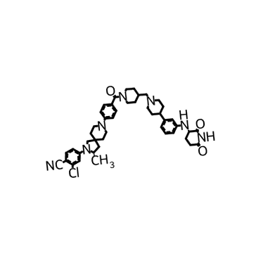 C[C@H]1CC2(CCN(c3ccc(C(=O)N4CCC(CN5CCC(c6cccc(N[C@H]7CCC(=O)NC7=O)c6)CC5)CC4)cc3)CC2)CN1c1ccc(C#N)c(Cl)c1